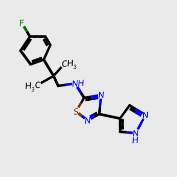 CC(C)(CNc1nc(-c2cn[nH]c2)ns1)c1ccc(F)cc1